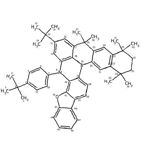 CC(C)(C)c1ccc(N2c3cc(C(C)(C)C)cc4c3B(c3cc5c(cc3C4(C)C)C(C)(C)CCC5(C)C)c3ccc4c(oc5ccccc54)c32)cc1